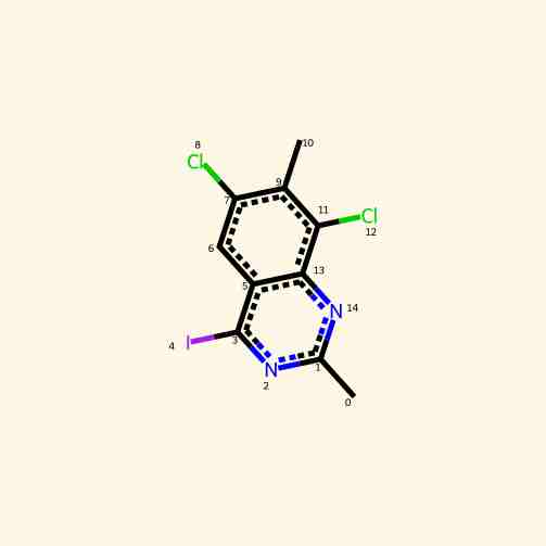 Cc1nc(I)c2cc(Cl)c(C)c(Cl)c2n1